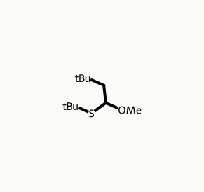 COC(CC(C)(C)C)SC(C)(C)C